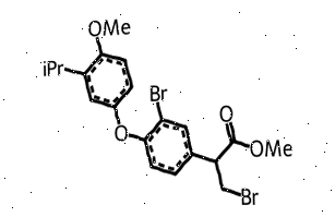 COC(=O)C(CBr)c1ccc(Oc2ccc(OC)c(C(C)C)c2)c(Br)c1